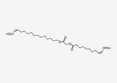 CCCCCC/C=C\CCCCCCCC(=O)OCC(=O)OCCCCCCCCCCCC/C=C\CCCCCCCC